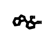 Oc1cccc(C2CCc3ccccc32)c1O